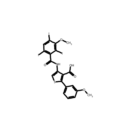 COc1cccc(-c2scc(NC(=O)c3c(I)cc(I)c(OC)c3I)c2C(=O)O)c1